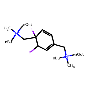 CCCCCCCC[N+](C)(CCCC)CC1=CC(I)C(I)(C[N+](C)(CCCC)CCCCCCCC)C=C1